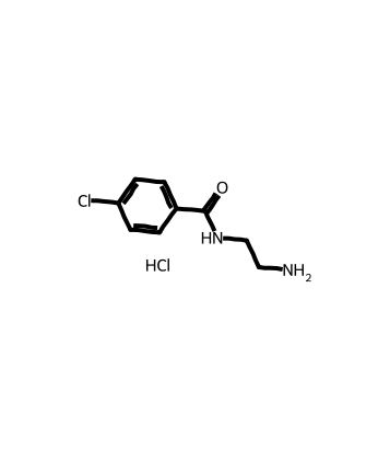 Cl.NCCNC(=O)c1ccc(Cl)cc1